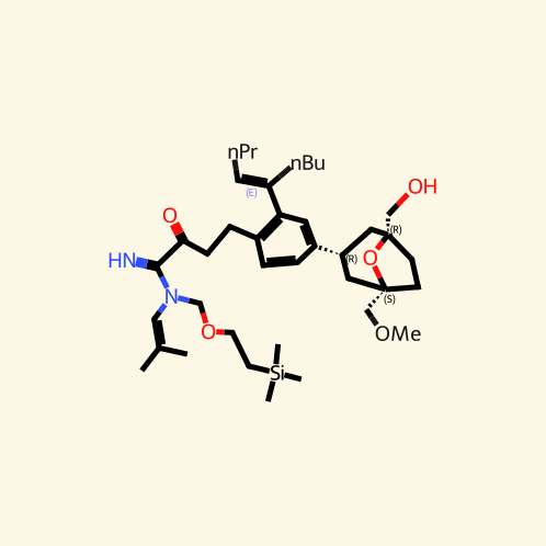 CCC/C=C(\CCCC)c1cc([C@@H]2C[C@@]3(CO)CC[C@@](COC)(C2)O3)ccc1CCC(=O)C(=N)N(C=C(C)C)COCC[Si](C)(C)C